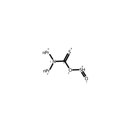 CCCN(CCC)C(=S)O[SH]=O